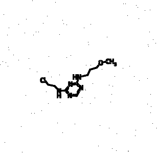 COCCCNc1ncnc(NCCCl)n1